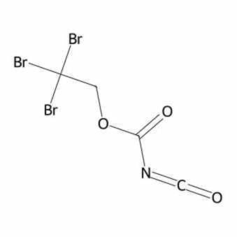 O=C=NC(=O)OCC(Br)(Br)Br